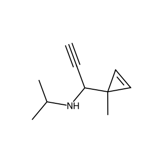 C#CC(NC(C)C)C1(C)C=C1